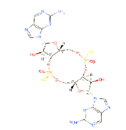 Nc1ncc2ncn([C@@H]3O[C@@H]4CO[P@@](=O)(S)O[C@H]5[C@@H](O)[C@H](n6cnc7cnc(N)nc76)O[C@@H]5COP(=O)(S)O[C@H]4[C@H]3O)c2n1